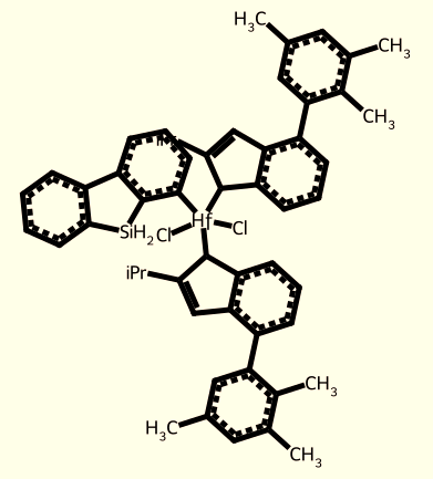 Cc1cc(C)c(C)c(-c2cccc3c2C=C(C(C)C)[CH]3[Hf]([Cl])([Cl])([c]2cccc3c2[SiH2]c2ccccc2-3)[CH]2C(C(C)C)=Cc3c(-c4cc(C)cc(C)c4C)cccc32)c1